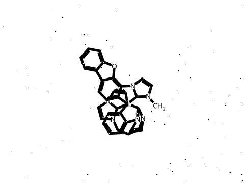 CN1C=CN2c3[c](ccc4c3oc3ccccc34)[Ir]345([c]6ccccc6N6C=CN(CCCN7C=CN(c8cccc[c]83)[CH]74)[CH]65)[CH]12